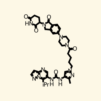 Cc1nn(CCCCC(=O)N2CCN(c3ccc4c(c3)CN(C3CCC(=O)NC3=O)C4=O)CC2)cc1NC(=O)Nc1cnc2ccnn2c1C(C)C